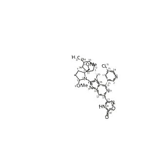 COC[C@@H]1CCC(OC)N1c1nc2cc(-c3noc(=O)[nH]3)nc(-c3cncc(Cl)c3)c2n1C[C@H]1CC[C@H](C)CC1